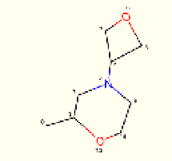 CC1CN(C2COC2)C[CH]O1